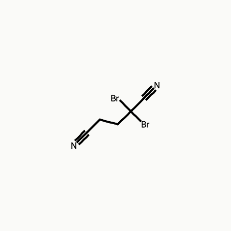 N#CCCC(Br)(Br)C#N